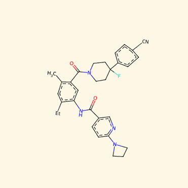 CCc1cc(C)c(C(=O)N2CCC(F)(c3ccc(C#N)cc3)CC2)cc1NC(=O)c1ccc(N2CCC2)nc1